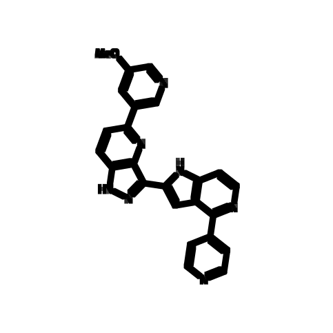 COc1cncc(-c2ccc3[nH]nc(-c4cc5c(-c6ccncc6)nccc5[nH]4)c3n2)c1